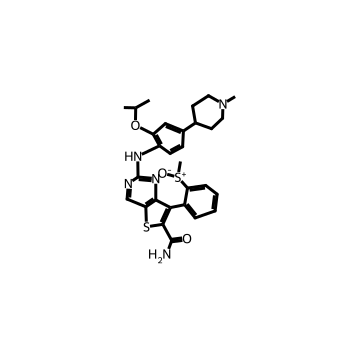 CC(C)Oc1cc(C2CCN(C)CC2)ccc1Nc1ncc2sc(C(N)=O)c(-c3ccccc3[S+](C)[O-])c2n1